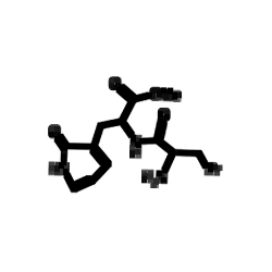 COC(=O)C(Cc1ccc[nH]c1=O)NC(=O)C(N)CC(C)C